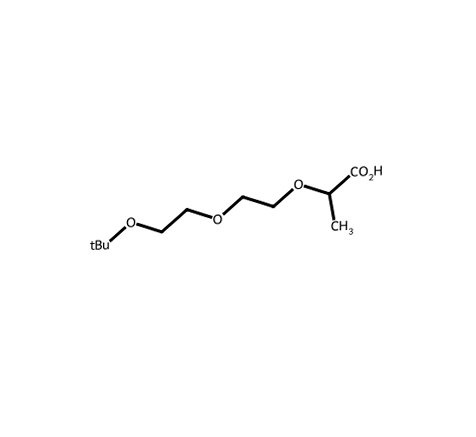 CC(OCCOCCOC(C)(C)C)C(=O)O